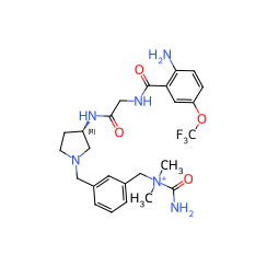 C[N+](C)(Cc1cccc(CN2CC[C@@H](NC(=O)CNC(=O)c3cc(OC(F)(F)F)ccc3N)C2)c1)C(N)=O